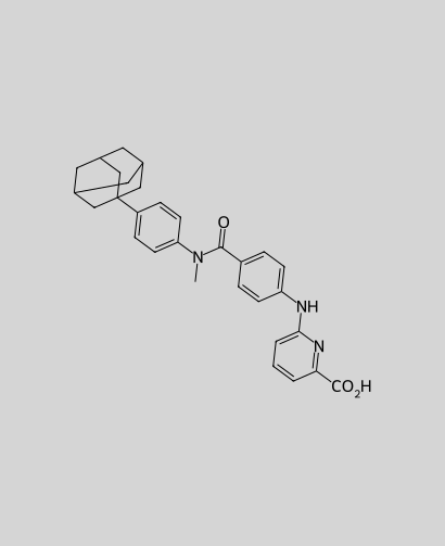 CN(C(=O)c1ccc(Nc2cccc(C(=O)O)n2)cc1)c1ccc(C23CC4CC(CC(C4)C2)C3)cc1